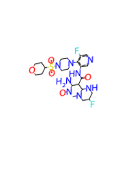 CN1CC(F)CNC1C(C(=O)Nc1cncc(F)c1N1CCN(S(=O)(=O)C2CCOCC2)CC1)C(N)N=O